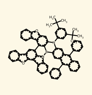 CC(C)(C)c1cc(N2c3cc4c(-c5ccccc5)c5ccccc5c(-c5ccccc5)c4cc3B3c4c2cc2oc5ccccc5c2c4-c2cc4c5ccccc5oc4c4c5ccccc5n3c24)cc(C(C)(C)C)c1